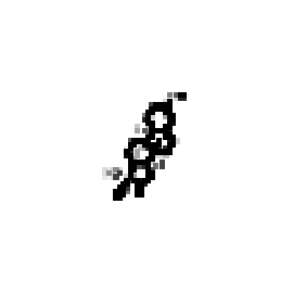 C#C[C@]1(O)C(=C)C[C@H]2C3(C)CC=C4C=C(OC)CC[C@@H]4[C@H]3CC[C@@]21C